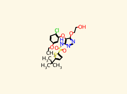 CCOc1ccc(Cl)c(Oc2c(NS(=O)(=O)c3ccc(C(C)(C)C)s3)ncnc2OCCO)c1